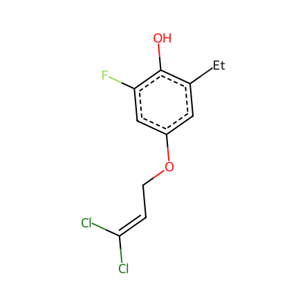 CCc1cc(OCC=C(Cl)Cl)cc(F)c1O